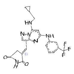 O=C1C/C(=C\c2cnn3c(NCC4CC4)cc(Nc4cccc(C(F)(F)F)c4)nc23)C(=O)N1